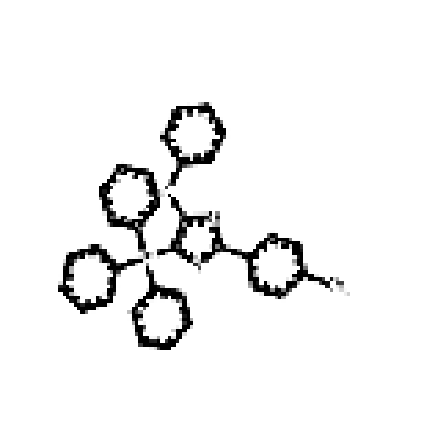 Cc1ccc(-c2nc([P+](c3ccccc3)(c3ccccc3)c3ccccc3)c(Nc3ccccc3)o2)cc1